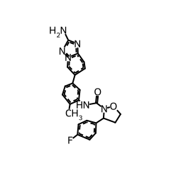 Cc1ccc(-c2ccc3nc(N)nn3c2)cc1NC(=O)N1OCCC1c1ccc(F)cc1